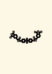 O=C(CC1CCC2C(=O)OC(=O)C2C1)Nc1ccc(S(=O)(=O)c2ccc(NC(=O)CC3CCC4C(=O)OC(=O)C4C3)cc2)cc1